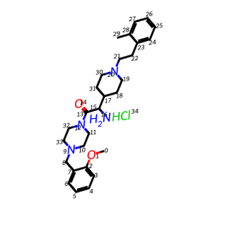 COc1ccccc1CN1CCN(C(=O)C(N)C2CCN(CCc3ccccc3C)CC2)CC1.Cl